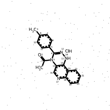 CC(=O)N1C(c2ccc(C)cc2)=NNc2c1cnc1ccccc21.Cl